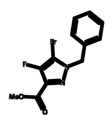 COC(=O)c1nn(Cc2ccccc2)c(Br)c1F